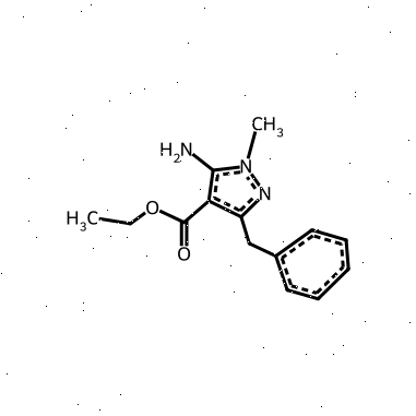 CCOC(=O)c1c(Cc2ccccc2)nn(C)c1N